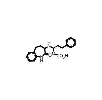 O=C(O)O[C@H](CCc1ccccc1)NC1CCc2ccccc2NC1=O